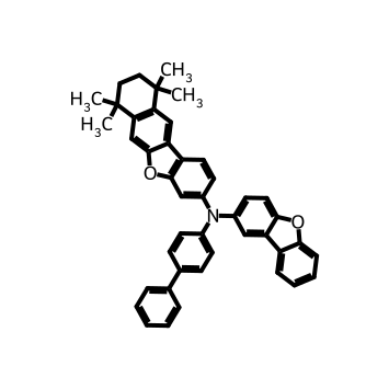 CC1(C)CCC(C)(C)c2cc3c(cc21)oc1cc(N(c2ccc(-c4ccccc4)cc2)c2ccc4oc5ccccc5c4c2)ccc13